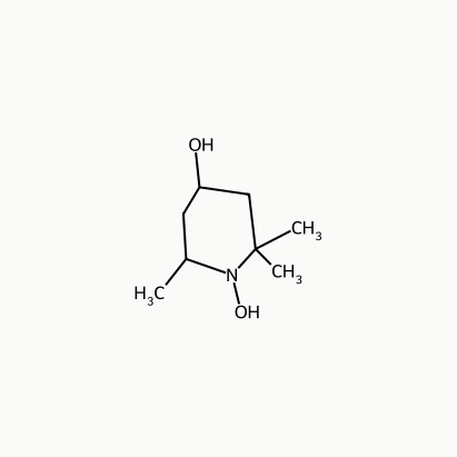 CC1CC(O)CC(C)(C)N1O